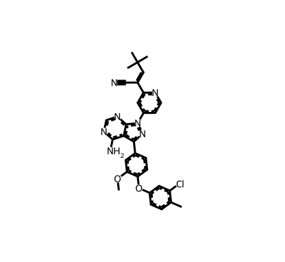 COc1cc(-c2nn(-c3ccnc(/C(C#N)=C/C(C)(C)C)c3)c3ncnc(N)c23)ccc1Oc1ccc(C)c(Cl)c1